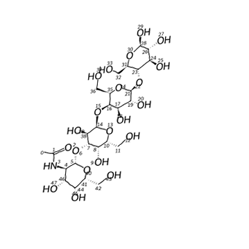 CC(=O)N[C@H]1[C@H](O[C@H]2[C@@H](O)[C@@H](CO)O[C@H](O[C@@H]3[C@H](O)[C@@H](O)[C@H](O[C@H]4[C@H](O)[C@@H](O)[C@H](O)O[C@@H]4CO)O[C@@H]3CO)[C@@H]2O)O[C@H](CO)[C@H](O)[C@@H]1O